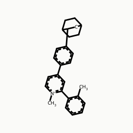 Cc1ccccc1-c1cc(-c2ccc(C3CC4CCC3CC4)cc2)cc[n+]1C